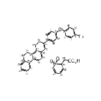 Fc1ccc(Oc2ccc(C3=Cc4ccc5c(c4CC3)CCc3ccccc3-5)cc2)cc1.O=C(O)CC1C=CC=CS1(=O)=O